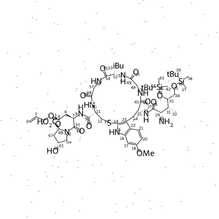 C=CCOC(=O)C[C@@H](NC(=O)[C@H]1CSc2[nH]c3cc(OC)ccc3c2C[C@@H](NC(=O)[C@@H](N)[C@@H](C)C(CO[Si](C)(C)C(C)(C)C)O[Si](C)(C)C(C)(C)C)C(=O)NCC(=O)N[C@@H]([C@@H](C)CC)C(=O)NCC(=O)N1)C(=O)N1C[C@H](O)C[C@H]1C(=O)O